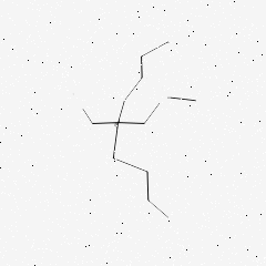 CCCCC(CO)(CCCC)COC